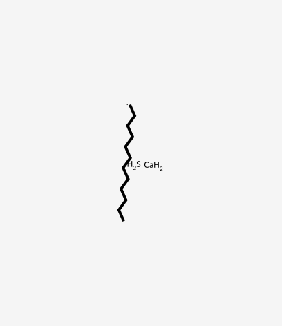 S.[CH2]CCCCCCCCCCC.[CaH2]